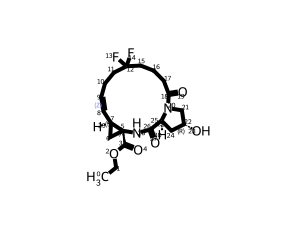 CCOC(=O)[C@@]12C[C@H]1/C=C\CCC(F)(F)CCCC(=O)N1C[C@H](O)C[C@H]1C(=O)N2